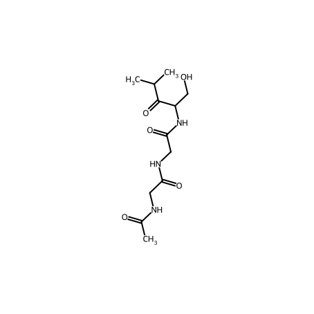 CC(=O)NCC(=O)NCC(=O)NC(CO)C(=O)C(C)C